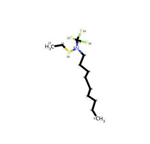 CCCCCCCCCN(SCC)C(F)(F)F